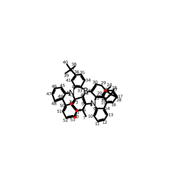 CC1C=C2C3=C(C1C)N(c1ccccc1-c1ccccc1)C1=CC(C)(C(C)(C)C)CC=C1B3c1ccc(C(C)(C)C)cc1N2c1ccccc1-c1ccccc1